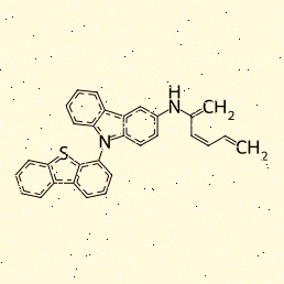 C=C/C=C\C(=C)Nc1ccc2c(c1)c1ccccc1n2-c1cccc2c1sc1ccccc12